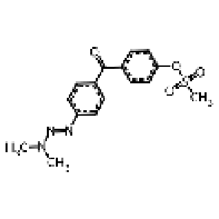 CN(C)/N=N/c1ccc(C(=O)c2ccc(OS(C)(=O)=O)cc2)cc1